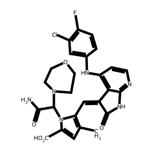 Cc1cc(C(=O)O)n(C(C(N)=O)N2CCOCC2)c1C=C1C(=O)Nc2nccc(Nc3ccc(F)c(Cl)c3)c21